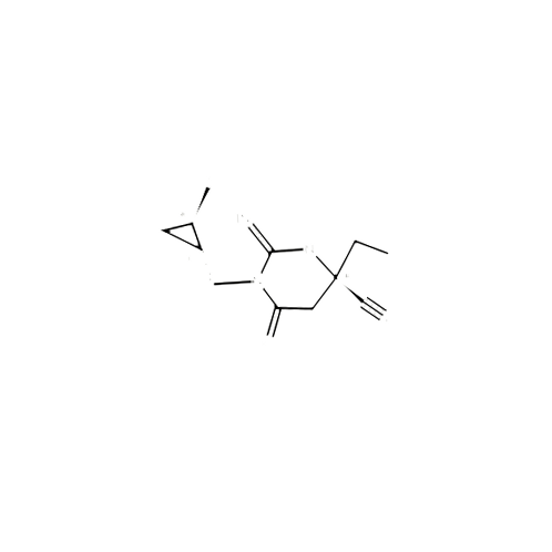 C#C[C@@]1(CC)CC(=O)N(C[C@@H]2C[C@H]2C)C(=N)N1